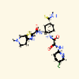 CNC(=S)[C@H]1CC[C@H](NC(=O)C(=O)Nc2ccc(Cl)cn2)[C@H](NC(=O)c2nc3c(s2)CN(C)CC3)C1